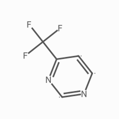 FC(F)(F)c1[c][c]n[c]n1